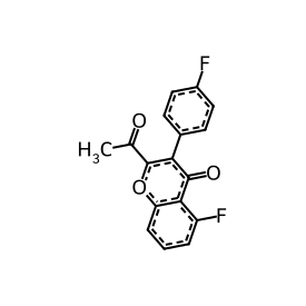 CC(=O)c1oc2cccc(F)c2c(=O)c1-c1ccc(F)cc1